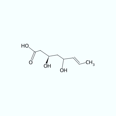 C/C=C/C(O)C[C@@H](O)CC(=O)O